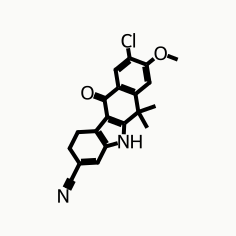 COc1cc2c(cc1Cl)C(=O)c1c([nH]c3c1CCC(C#N)=C3)C2(C)C